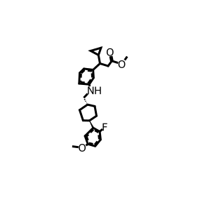 COC(=O)CC(c1cccc(NC[C@H]2CC[C@H](c3cc(OC)ccc3F)CC2)c1)C1CC1